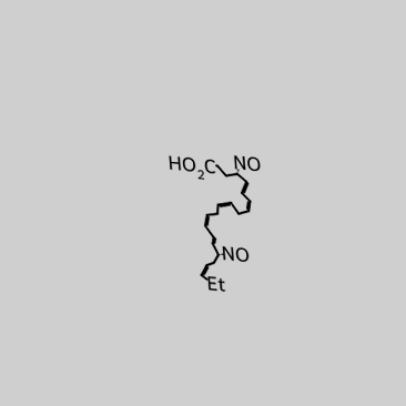 CC/C=C\C[C@H](/C=C/C=C\C/C=C\C/C=C\C=C\[C@H](CCC(=O)O)N=O)N=O